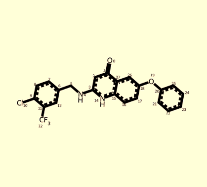 O=c1cc(NCc2ccc(Cl)c(C(F)(F)F)c2)[nH]c2ccc(Oc3ccccc3)cc12